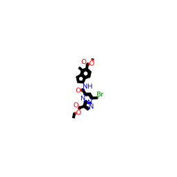 CCOC(=O)c1cnn2c(CBr)cc(C(=O)N[C@@H]3CCc4c3ccc(C(=O)OC)c4C)nc12